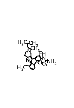 CCc1cccc(CC)c1-n1nc2c(c1-c1ccc(NC(N)=O)c(F)c1)CN(C(C)CC(C)C)CC2